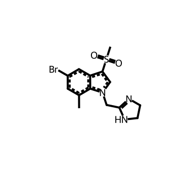 Cc1cc(Br)cc2c(S(C)(=O)=O)cn(CC3=NCCN3)c12